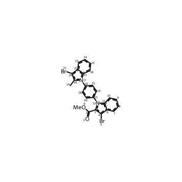 COC(=O)c1c(Br)c2ccccc2n1-c1ccc(-n2c(C)c(Br)c3ccccc32)cc1